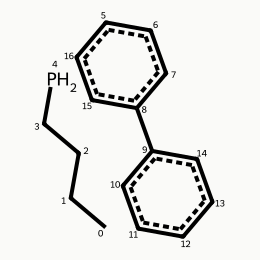 CCCCP.c1ccc(-c2ccccc2)cc1